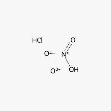 Cl.O=[N+]([O-])O.[O-2]